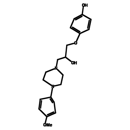 COc1ccc(N2CCN(CC(O)COc3ccc(O)cc3)CC2)cc1